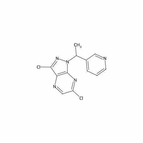 CC(c1cccnc1)n1nc(Cl)c2ncc(Cl)nc21